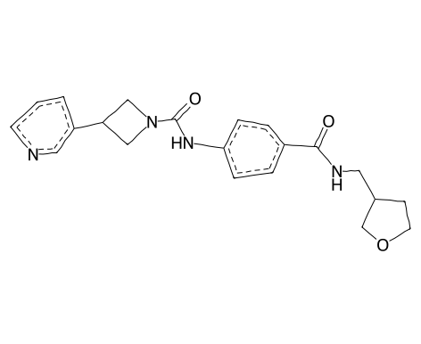 O=C(NCC1CCOC1)c1ccc(NC(=O)N2CC(c3cccnc3)C2)cc1